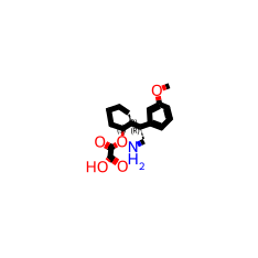 COc1cccc([C@H](CN)[C@H]2CCCC[C@@H]2OC(=O)C(=O)O)c1